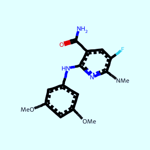 CNc1nc(Nc2cc(OC)cc(OC)c2)c(C(N)=O)cc1F